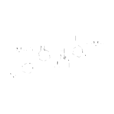 COc1ncc(NNC(=O)c2cnc(OC)c(-c3ccc(C#N)cc3)c2)cc1F